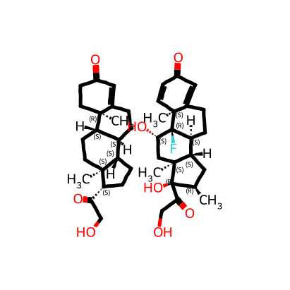 C[C@@H]1C[C@H]2[C@@H]3CCC4=CC(=O)C=C[C@]4(C)[C@@]3(F)[C@@H](O)C[C@]2(C)[C@@]1(O)C(=O)CO.C[C@]12CC[C@H]3[C@@H](CCC4=CC(=O)CC[C@@]43C)[C@@H]1CC[C@@H]2C(=O)CO